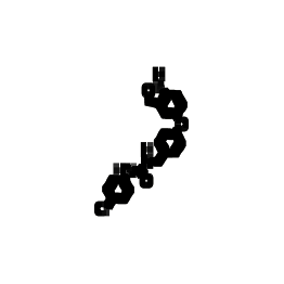 O=C(NCc1ccc(Oc2ccc3c(c2)COB3)cc1)Nc1ccc(Cl)cc1